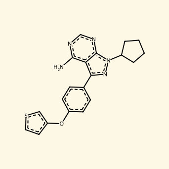 Nc1ncnc2c1c(-c1ccc(Oc3ccsc3)cc1)nn2C1CCCC1